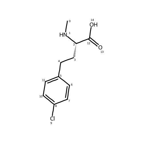 CN[C@@H](CCc1ccc(Cl)cc1)C(=O)O